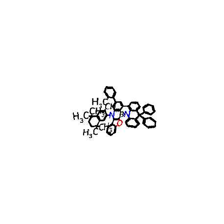 Cc1ccccc1-c1cc2c3c(c1)N(c1cc4c(cc1C)C(C)(C)CCC4(C)C)c1c(oc4ccccc14)B3N1c3ccccc3C(c3ccccc3)(c3ccccc3)c3cccc-2c31